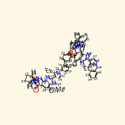 CCc1c(-c2nc3cc(C(=O)N4C[C@H]5CC[C@@H]4[C@@H]5N)cc(OC)c3n2C)ccn1Cc1cccc(-c2ccc(CN[C@@H]3[C@@H]4CC[C@H]3N(C(=O)c3cc(OC)c5c(c3)nc(-c3ccn(Cc6ccccc6)c3CC)n5C)C4)cc2)c1